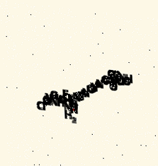 CN1C(c2ccc(C(=O)Nc3cc(Cl)ccn3)cc2F)=C2C(N)=NC=CN2C1N1CCC2(CC1)CN(C1CCN(C3CN(c4ccc5c(c4)C(=O)N(C4CCC(=O)NC4=O)C5=O)C3)CC1)C2